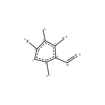 [CH2]c1cc(F)c(C)c(F)c1C=S